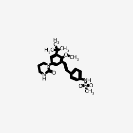 COc1c(C=Cc2ccc(NS(C)(=O)=O)cc2)cc(N2CCCNC2=O)cc1C(C)(C)C